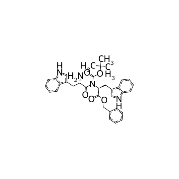 CC(C)(C)OC(=O)N(C(=O)[C@@H](N)Cc1c[nH]c2ccccc12)[C@@H](Cc1c[nH]c2ccccc12)C(=O)OCc1ccccc1